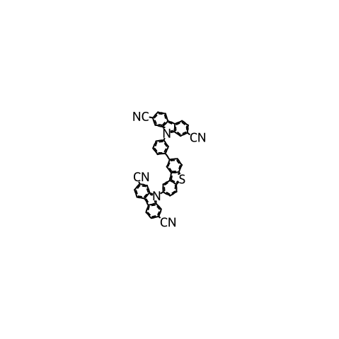 N#Cc1ccc2c3ccc(C#N)cc3n(-c3cccc(-c4ccc5sc6ccc(-n7c8cc(C#N)ccc8c8ccc(C#N)cc87)cc6c5c4)c3)c2c1